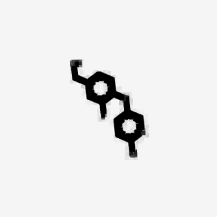 OCc1ccc(Oc2ccc(Cl)nc2)c(F)c1